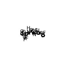 Cc1cc(Oc2ccccc2F)ccc1-n1ncc(C(=O)c2cc3cc(OC(F)F)c(N4CCCS4(=O)=O)cc3[nH]2)c1N